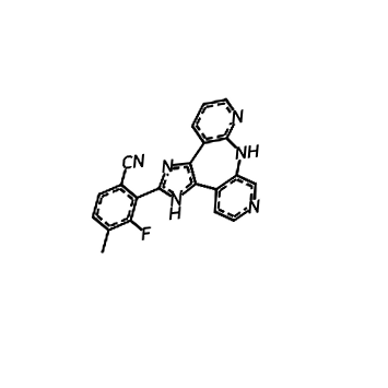 Cc1ccc(C#N)c(-c2nc3c([nH]2)-c2ccncc2Nc2ncccc2-3)c1F